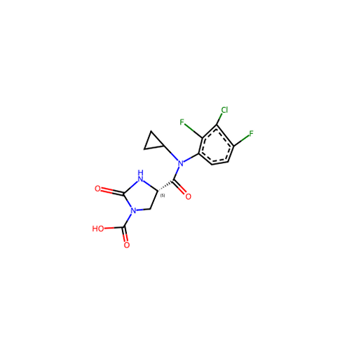 O=C(O)N1C[C@@H](C(=O)N(c2ccc(F)c(Cl)c2F)C2CC2)NC1=O